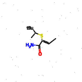 C/C=C(\SC(C)C(C)(C)C)C(N)=O